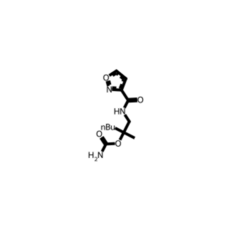 CCCCC(C)(CNC(=O)c1ccon1)OC(N)=O